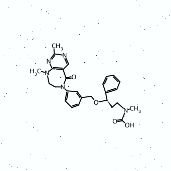 Cc1ncc2c(n1)N(C)CCN(c1cccc(CO[C@H](CCN(C)C(=O)O)c3ccccc3)c1)C2=O